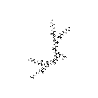 CCCCCCCC(=O)OCC(COC(=O)CCCCCCC)OC(=O)CCC(=O)OCc1cc(COC(=O)CCC(=O)OC(COC(=O)CCCCCCC)COC(=O)CCCCCCC)cc(CN(C)C)c1